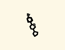 Brc1ccc(C2CCC(C3CCCC3)CO2)cc1